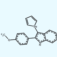 COc1ccc(-c2[nH]c3ccccc3c2[SH]2C=CC=C2)cc1